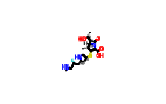 CNCC(F)C[C@@H]1C[C@H](SC2=C(C(=O)O)N3C(=O)[C@H]([C@@H](C)O)[C@H]3[C@H]2C)CN1